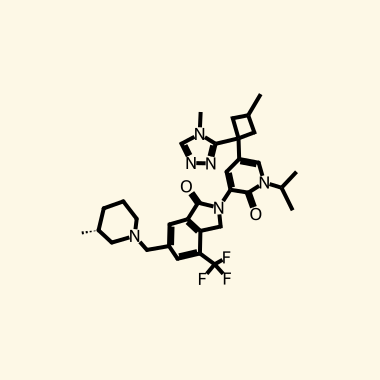 CC1CC(c2cc(N3Cc4c(cc(CN5CCC[C@@H](C)C5)cc4C(F)(F)F)C3=O)c(=O)n(C(C)C)c2)(c2nncn2C)C1